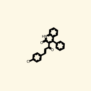 O=C(/C=C/c1ccc(Cl)cc1)c1c(-c2ccccc2)c2ccccc2[nH]c1=O